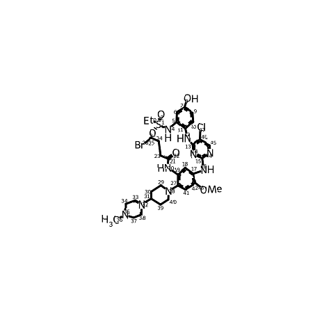 CCS(=O)(=O)Nc1cc(O)ccc1Nc1nc(Nc2cc(NC(=O)CCCBr)c(N3CCC(N4CCN(C)CC4)CC3)cc2OC)ncc1Cl